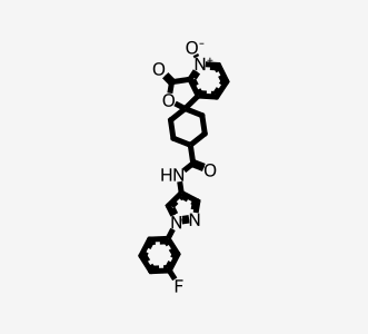 O=C1OC2(CCC(C(=O)Nc3cnn(-c4cccc(F)c4)c3)CC2)c2ccc[n+]([O-])c21